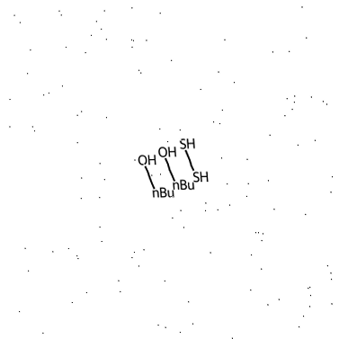 CCCCO.CCCCO.SS